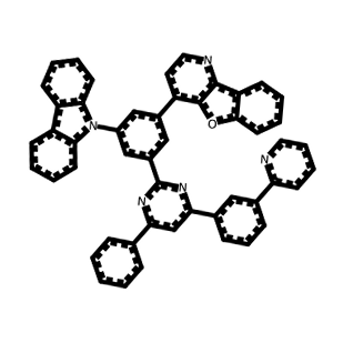 c1ccc(-c2cc(-c3cccc(-c4ccccn4)c3)nc(-c3cc(-c4ccnc5c4oc4ccccc45)cc(-n4c5ccccc5c5ccccc54)c3)n2)cc1